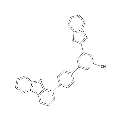 N#Cc1cc(-c2ccc(-c3cccc4c3oc3ccccc34)cc2)cc(-c2nc3ccccc3s2)c1